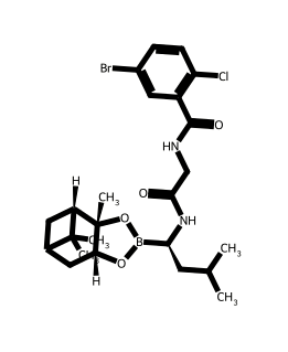 CC(C)C[C@H](NC(=O)CNC(=O)c1cc(Br)ccc1Cl)B1O[C@@H]2CC3C[C@@H](C3(C)C)[C@]2(C)O1